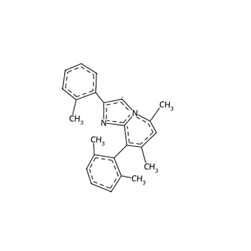 Cc1ccccc1-c1[c]n2c(C)cc(C)c(-c3c(C)cccc3C)c2n1